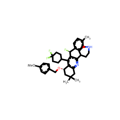 COc1ccc(CO[C@H]2CC(C)(C)Cc3nc(C4CCNCC4)c([C@@H](F)c4ccc(C)cc4)c(C4CCC(F)(F)CC4)c32)cc1